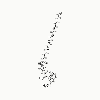 CCc1cc2c(s1)CCO[C@@]21CCN(CC2CC(NC(=O)CCCCCOCCOCCOCCOCCCCCCCl)C2)[C@@H](C)C1